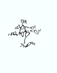 CCCCCCCCCC[Si](C)(C)CCO[C@@]1(C(=O)O)O[C@H](CO)[C@@H](O)[C@H](O)[C@H]1O